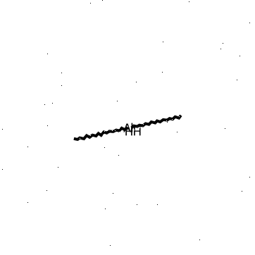 CCCCCCCCCCCCCCCCC[CH2][Al][CH2]CCCCCCCCCCCCCCCCC.[HH]